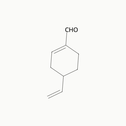 C=CC1CC=C(C=O)CC1